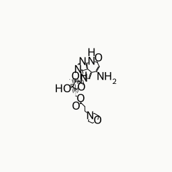 C[C@@]1(O)[C@H](O)[C@@H](COC(=O)CCN2CCOCC2)O[C@H]1n1cc2c3c(ncnc31)NC(=O)C=C2N